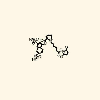 O=C(CCCCC[n+]1ccccc1-c1nc2c(o1)c(S(=O)(=O)O)cc1cc(S(=O)(=O)O)ccc12)ON1C(=O)CCC1=O